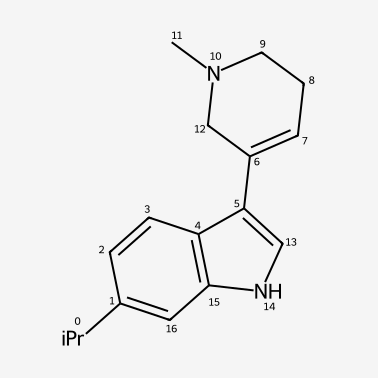 CC(C)c1ccc2c(C3=CCCN(C)C3)c[nH]c2c1